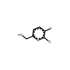 OCc1ccc(F)c(Cl)n1